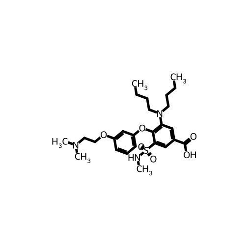 CCCCN(CCCC)c1cc(C(=O)O)cc(S(=O)(=O)NC)c1Oc1cccc(OCCN(C)C)c1